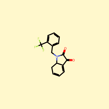 O=C1C(=O)N(Cc2ccccc2C(F)(F)F)C2CC=CC=C12